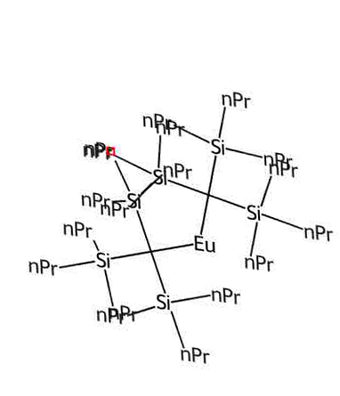 CCC[Si](CCC)(CCC)[C]([Eu][C]([Si](CCC)(CCC)CCC)([Si](CCC)(CCC)CCC)[Si](CCC)(CCC)CCC)([Si](CCC)(CCC)CCC)[Si](CCC)(CCC)CCC